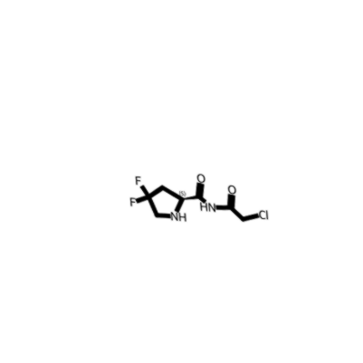 O=C(CCl)NC(=O)[C@@H]1CC(F)(F)CN1